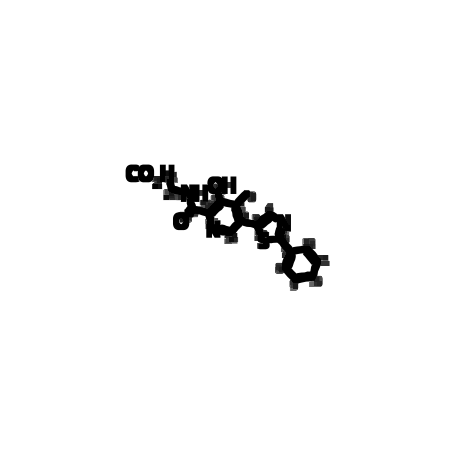 Cc1c(-c2cnc(-c3ccccc3)s2)cnc(C(=O)NCC(=O)O)c1O